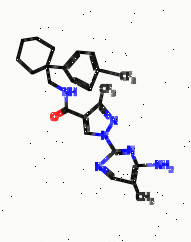 Cc1cnc(-n2cc(C(=O)NCC3(c4ccc(C(F)(F)F)cc4)CCCCC3)c(C(F)(F)F)n2)nc1N